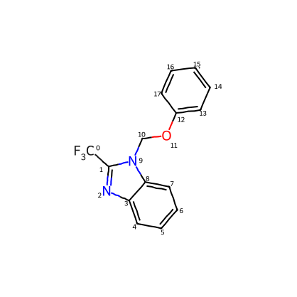 FC(F)(F)c1nc2ccccc2n1COc1cc[c]cc1